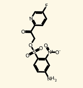 Nc1ccc(S(=O)(=O)OCC(=O)c2ccc(F)cn2)c([N+](=O)[O-])c1